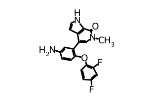 Cn1cc(-c2cc(N)ccc2Oc2ccc(F)cc2F)c2cc[nH]c2c1=O